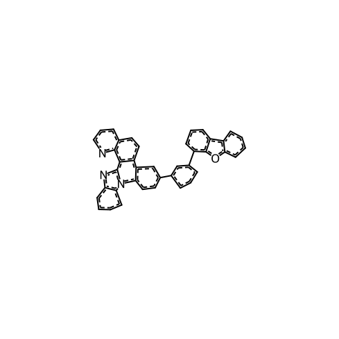 c1cc(-c2ccc3c(c2)c2ccc4cccnc4c2c2nc4ccccc4n32)cc(-c2cccc3c2oc2ccccc23)c1